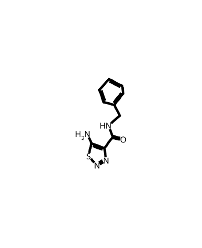 Nc1snnc1C(=O)NCc1ccccc1